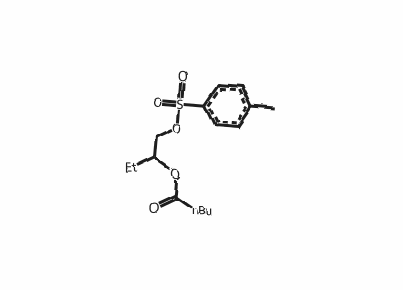 CCCCC(=O)OC(CC)COS(=O)(=O)c1ccc(C)cc1